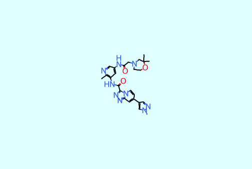 Cc1ncc(NC(=O)CN2CCOC(C)(C)C2)cc1NC(=O)c1nnc2cc(-c3cnn(C)c3)ccn12